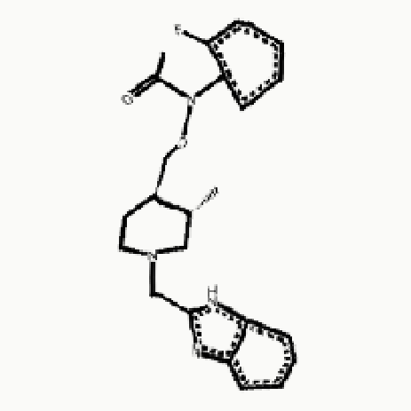 CC(=O)N(OC[C@@H]1CCN(Cc2nc3ccccc3[nH]2)C[C@H]1C)c1ccccc1F